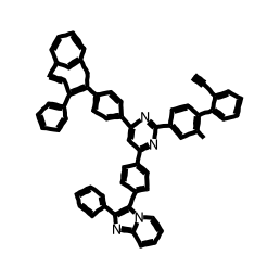 C#Cc1ccccc1-c1ccc(-c2nc(-c3ccc(/C4=C(c5ccccc5)/C=C/C5C=CC=CC(=C5)C4)cc3)cc(-c3ccc(-c4c(-c5ccccc5)nc5ccccn45)cc3)n2)cc1C